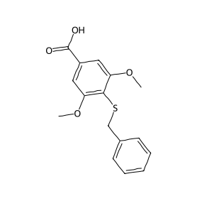 COc1cc(C(=O)O)cc(OC)c1SCc1ccccc1